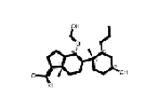 CCC[C@H]1C[C@@H](O)CC[C@]1(C)C1CC[C@]2(C)C(=C(Cl)Cl)CCC2[C@@H]1OCO